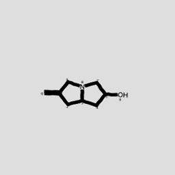 C=C1CC2CC(O)CN2C1